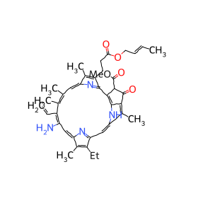 C=Cc1c(N)cc2nc(cc3[nH]c4c(c3C)C(=O)C(C(=O)OC)c4c3nc(cc(C)c1C)C(C)=C3CCC(=O)OCC=CC)C(CC)=C2C